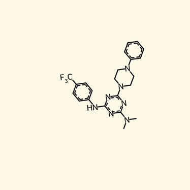 CN(C)c1nc(Nc2ccc(C(F)(F)F)cc2)nc(N2CCN(c3ccccc3)CC2)n1